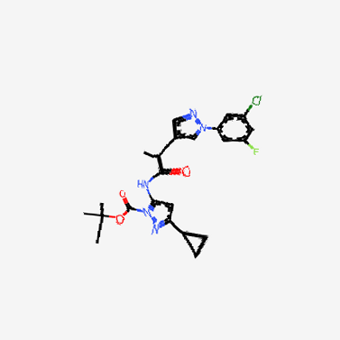 CC(C(=O)Nc1cc(C2CC2)nn1C(=O)OC(C)(C)C)c1cnn(-c2cc(F)cc(Cl)c2)c1